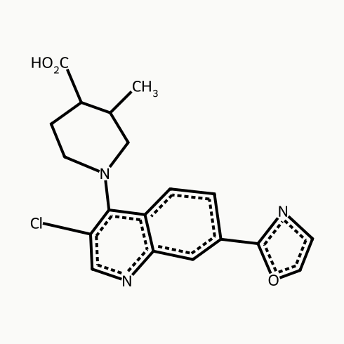 CC1CN(c2c(Cl)cnc3cc(-c4ncco4)ccc23)CCC1C(=O)O